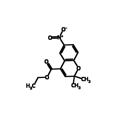 CCOC(=O)C1=CC(C)(C)Oc2ccc([N+](=O)[O-])cc21